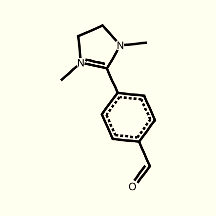 CN1CC[N+](C)=C1c1ccc(C=O)cc1